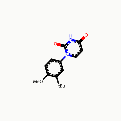 COc1c[c]c(-n2ccc(=O)[nH]c2=O)cc1C(C)(C)C